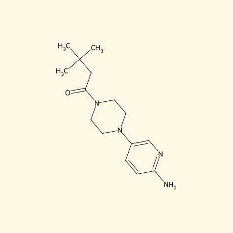 CC(C)(C)CC(=O)N1CCN(c2ccc(N)nc2)CC1